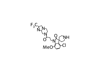 COc1ccc(Cl)c2c1N(CCC(=O)N1CCN3CC(C(F)(F)F)=NC3C1)C(=O)C21CCNCC1